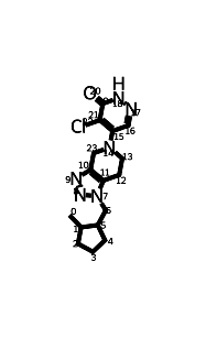 CC1CCCC1Cn1nnc2c1CCN(c1cn[nH]c(=O)c1Cl)C2